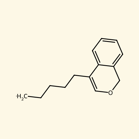 [CH2]CCCCC1=COCc2ccccc21